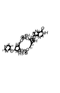 O=c1[nH]cnc2c1nnn2[C@@H]1CC2CO[P@](=O)(S)O[C@H]3C[C@H](Oc4ccncn4)C[C@@H]3CO[P@@](=O)(S)O[C@@H]1[C@@H]2O